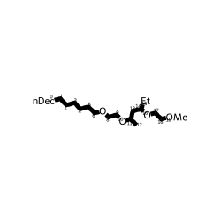 CCCCCCCCCCCCCCCCOCCOC(C)CC(CC)OCCOC